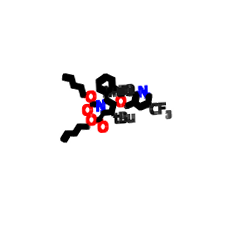 C=CCCCOC(=O)[C@@H]1[C@H](C(C)(C)C)[C@H](OCc2cc(C(F)(F)F)cnc2OC)[C@H](c2ccccc2C(C)C)N1C(=O)OCCCC=C